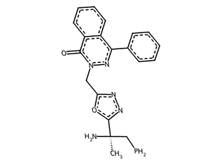 C[C@@](N)(CP)c1nnc(Cn2nc(-c3ccccc3)c3ccccc3c2=O)o1